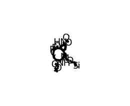 COC(=O)Nc1ccc2c(c1)C(=O)C(F)(F)CC=CCC(NC(=O)OC(C)(C)C)c1nc-2cn1COCC[Si](C)(C)C